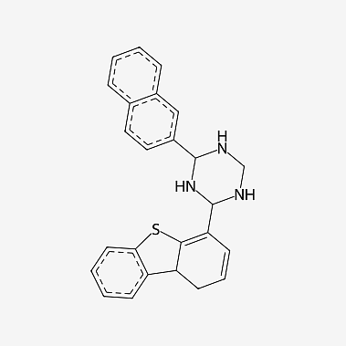 C1=CC(C2NCNC(c3ccc4ccccc4c3)N2)=C2Sc3ccccc3C2C1